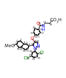 COc1ccc2cc(-c3c(Oc4ccc(C(=O)NCCC(=O)O)cc4)cnn3-c3cc(Cl)ccc3Cl)ccc2c1